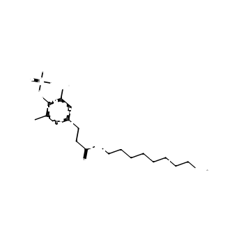 CCCCCCCCCCCCCCCCCCOC(=O)CCc1cc(C)c(OP(=O)(O)O)c(C(C)(C)C)c1